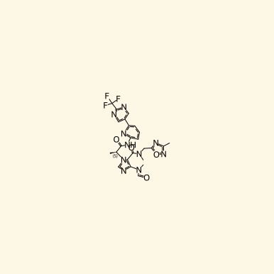 Cc1noc(CN(C)C(=O)c2c(N(C)C=O)ncn2[C@@H](C)C(=O)Nc2cccc(-c3cnc(C(F)(F)F)nc3)n2)n1